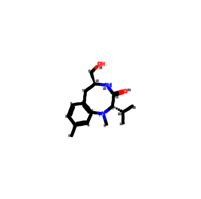 Cc1ccc2c(c1)N(C)[C@@H](C(C)C)C(=O)N[C@H](CO)C2